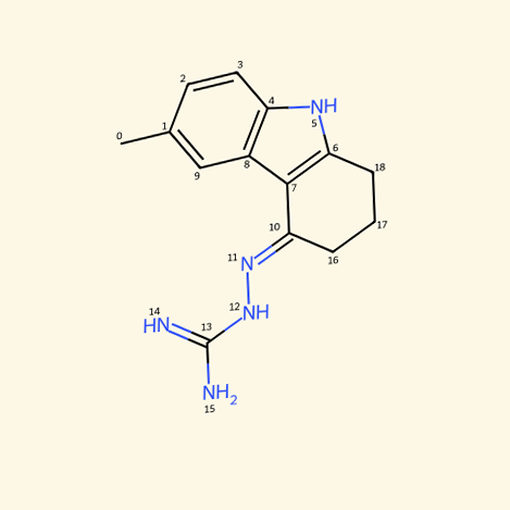 Cc1ccc2[nH]c3c(c2c1)/C(=N/NC(=N)N)CCC3